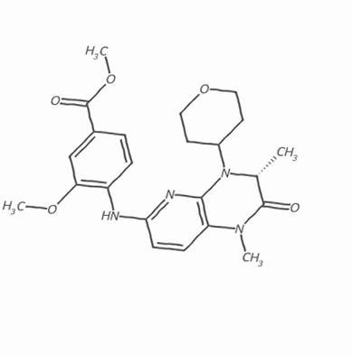 COC(=O)c1ccc(Nc2ccc3c(n2)N(C2CCOCC2)[C@H](C)C(=O)N3C)c(OC)c1